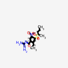 CCCC(C)S(=O)(=O)c1cc(CC)c(C(=O)N=C(N)N)cc1[N+](=O)[O-]